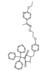 CCOc1ccc(C(C)=NOCCOc2ccc(CC3SC(=O)N(C(c4ccccc4)(c4ccccc4)c4ccccc4)C3=O)cc2)cn1